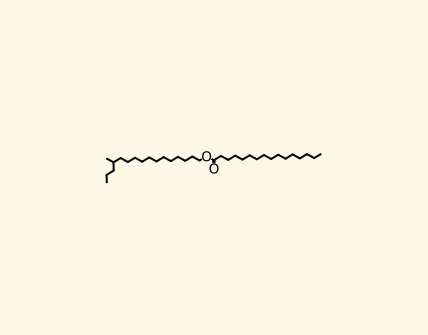 CCCCCCCCCCCCCCCC(=O)OCCCCCCCCCCCCC(C)CCC